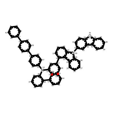 c1ccc(-c2ccc(-c3ccc(N(c4cccc(-c5cccc6c5c5ccccc5n6-c5ccc6oc7ccccc7c6c5)c4)c4ccccc4-c4ccccc4)cc3)cc2)cc1